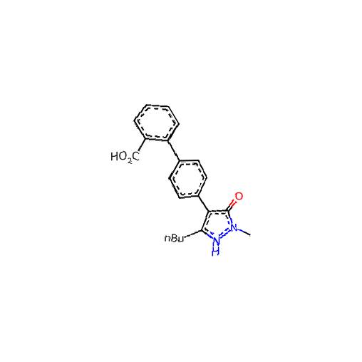 CCCCc1[nH]n(C)c(=O)c1-c1ccc(-c2ccccc2C(=O)O)cc1